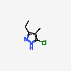 CCc1n[nH]c(Cl)c1C